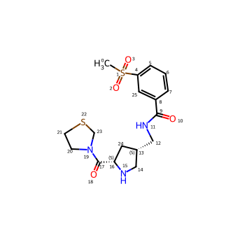 CS(=O)(=O)c1cccc(C(=O)NC[C@@H]2CN[C@H](C(=O)N3CCSC3)C2)c1